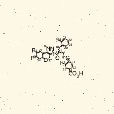 Cn1nc(C(=O)N(CCOc2ccc(C(=O)O)cc2F)Cc2ccccc2F)c2c1-c1cc(F)c(F)cc1OC2